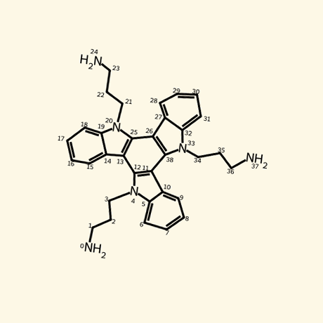 NCCCn1c2ccccc2c2c1c1c3ccccc3n(CCCN)c1c1c3ccccc3n(CCCN)c21